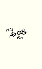 C=C(/C=C\C(=C/C)OCCO)[C@H]1CCN(C(=O)OC(C)(C)C)C[C@@H]1CO